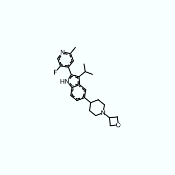 Cc1cc(-c2[nH]c3ccc(C4CCN(C5COC5)CC4)cc3c2C(C)C)c(F)cn1